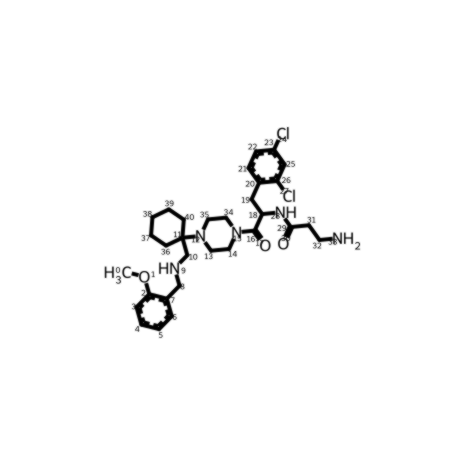 COc1ccccc1CNCC1(N2CCN(C(=O)C(Cc3ccc(Cl)cc3Cl)NC(=O)CCN)CC2)CCCCC1